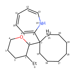 CCC1CCCO[C]1C1(C2=CC=CC=CN2)CCCCCC[SiH2]1